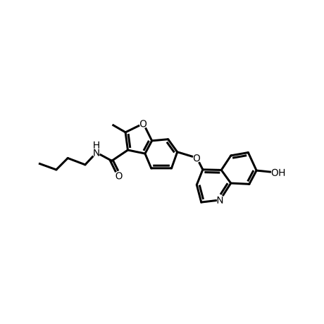 CCCCNC(=O)c1c(C)oc2cc(Oc3ccnc4cc(O)ccc34)ccc12